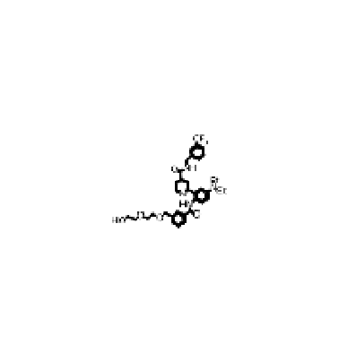 CCN(CC)c1ccc(NC(=O)c2cccc(COCCOCCO)c2)c(-c2cc(C(=O)NCc3cccc(C(F)(F)F)c3)ccn2)c1